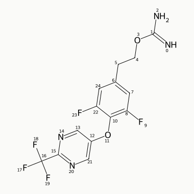 N=C(N)OCCc1cc(F)c(Oc2cnc(C(F)(F)F)nc2)c(F)c1